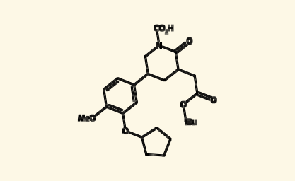 COc1ccc(C2CC(CC(=O)OC(C)(C)C)C(=O)N(C(=O)O)C2)cc1OC1CCCC1